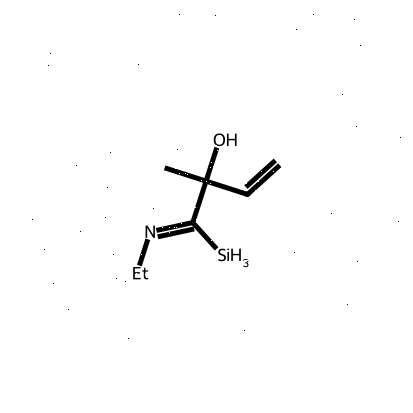 C=CC(C)(O)C([SiH3])=NCC